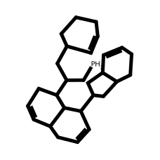 PCC(CC1C=CCCC1)C1CC=CC2CC=CC(C3CC4C=CCCC4C3)C21